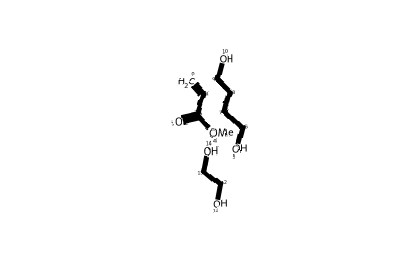 C=CC(=O)OC.OCCCCO.OCCO